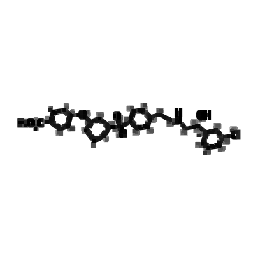 CCOC(=O)c1ccc(Oc2cccc(S(=O)(=O)c3ccc(CCNC[C@H](O)c4cccc(Cl)c4)cc3)c2)cc1